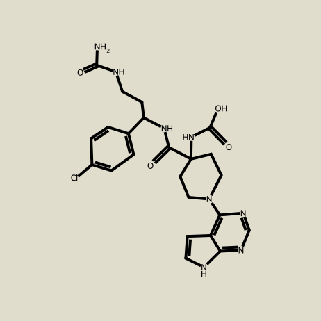 NC(=O)NCCC(NC(=O)C1(NC(=O)O)CCN(c2ncnc3[nH]ccc23)CC1)c1ccc(Cl)cc1